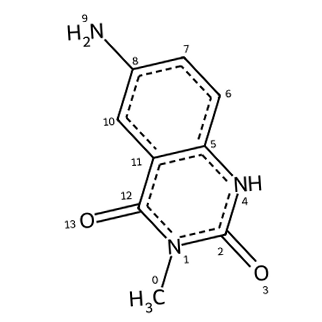 Cn1c(=O)[nH]c2ccc(N)cc2c1=O